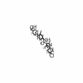 Cc1cc(NC(=O)c2cnn(-c3ccc(Cl)cn3)c2C)cnc1N1CCC(CO)CC1